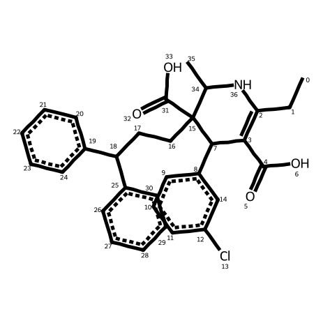 CCC1=C(C(=O)O)C(c2cccc(Cl)c2)C(CCC(c2ccccc2)c2ccccc2)(C(=O)O)C(C)N1